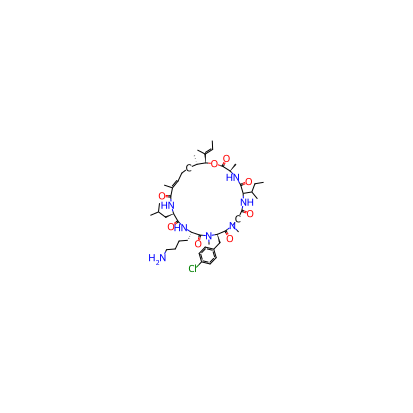 C/C=C(\C)[C@H]1OC(=O)[C@@H](C)NC(=O)C(C(C)CC)NC(=O)CN(C)C(=O)[C@@H](Cc2ccc(Cl)cc2)N(C)C(=O)[C@H](CCCCN)NC(=O)[C@@H](CC(C)C)NC(=O)/C(C)=C/CC[C@@H]1C